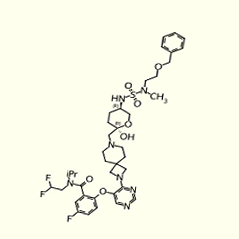 CC(C)N(CC(F)F)C(=O)c1cc(F)ccc1Oc1cncnc1N1CC2(CCN(C[C@@]3(O)CC[C@@H](NS(=O)(=O)N(C)CCOCc4ccccc4)CO3)CC2)C1